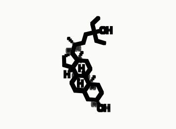 CCC(O)(CC)CC[C@@H](C)[C@H]1CC[C@H]2[C@@H]3CC=C4C[C@@H](O)CC[C@]4(C)[C@H]3CC[C@]12C